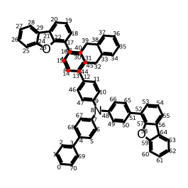 c1ccc(-c2ccc(N(c3ccc(-c4ccc(-c5cccc6c5oc5ccccc56)c5c4C4c6ccccc6C5c5ccccc54)cc3)c3ccc(-c4cccc5c4oc4ccccc45)cc3)cc2)cc1